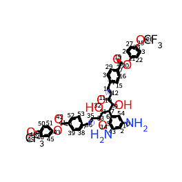 Nc1cc(N)cc(C(C(O)C(=O)/C=C/c2ccc(C(=O)Oc3ccc(OC(F)(F)F)cc3)cc2)C(O)C(=O)/C=C/c2ccc(C(=O)Oc3ccc(OC(F)(F)F)cc3)cc2)c1